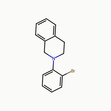 Brc1ccccc1N1CCc2ccccc2C1